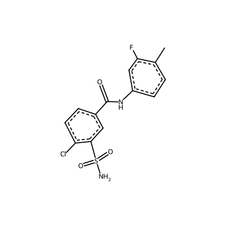 Cc1ccc(NC(=O)c2ccc(Cl)c(S(N)(=O)=O)c2)cc1F